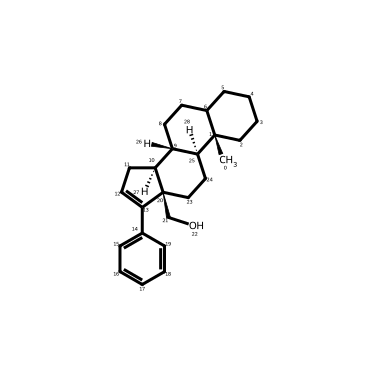 C[C@]12CCCCC1CC[C@H]1[C@@H]3CC=C(c4ccccc4)[C@@]3(CO)CC[C@@H]12